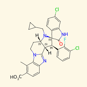 Cc1c(C(=O)O)ccc2nc3n(c12)CC[C@H]1[C@@H]3[C@H](c2cccc(Cl)c2F)[C@]2(C(=O)Nc3cc(Cl)ccc32)N1CC1CC1